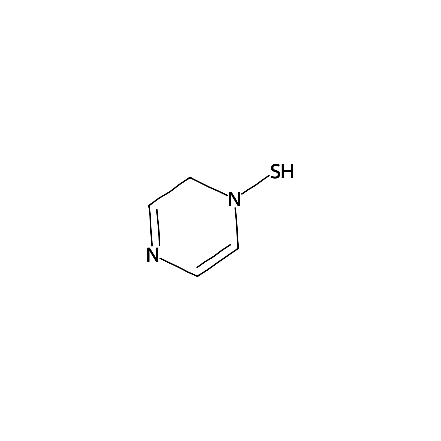 SN1C=CN=CC1